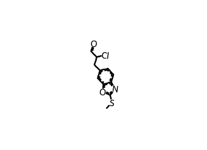 CSc1nc2ccc(CC(Cl)C=O)cc2o1